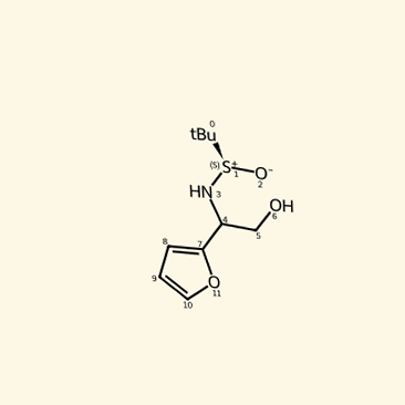 CC(C)(C)[S@@+]([O-])NC(CO)c1ccco1